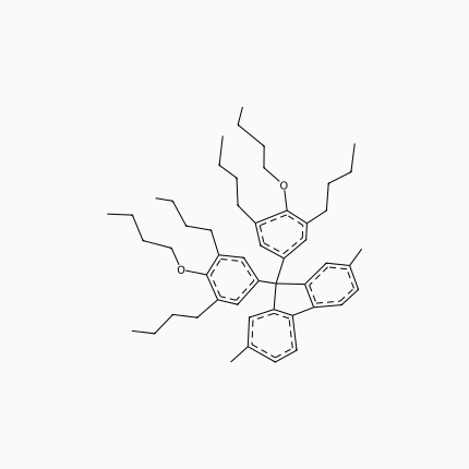 CCCCOc1c(CCCC)cc(C2(c3cc(CCCC)c(OCCCC)c(CCCC)c3)c3cc(C)ccc3-c3ccc(C)cc32)cc1CCCC